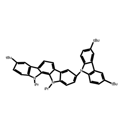 CC(C)n1c2ccc(-n3c4ccc(C(C)(C)C)cc4c4cc(C(C)(C)C)ccc43)cc2c2ccc3c4cc(C(C)(C)C)ccc4n(C(C)C)c3c21